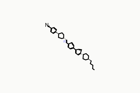 CCCCC[C@H]1CC[C@H](c2ccc(-c3ccc(/C=C/[C@H]4CC[C@H](c5ccc(C#N)cc5)CC4)cc3)cc2)CC1